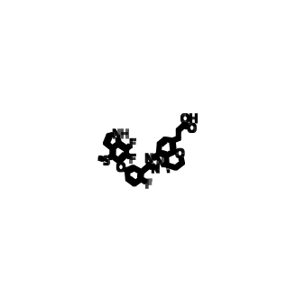 CSc1c(Oc2ccc(F)c(-c3ncn([C@]4(C)CCOc5c(CCC(=O)O)cccc54)n3)c2)c(F)c(F)c2[nH]ccc12